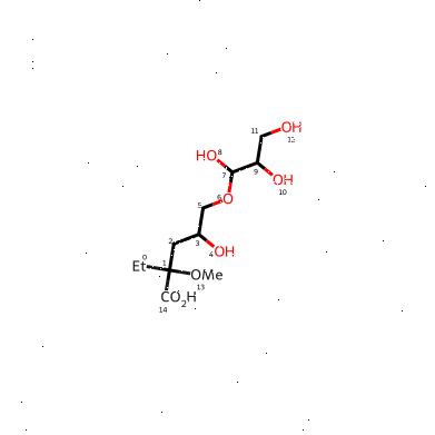 CCC(CC(O)COC(O)C(O)CO)(OC)C(=O)O